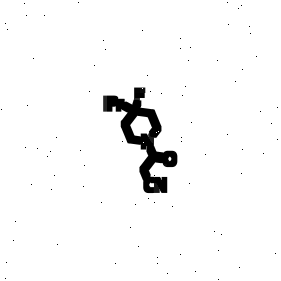 CC(C)C1(F)CCN(C(=O)CC#N)CC1